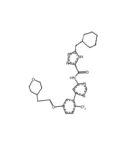 O=C(Nc1cc(-c2cc(OCCC3CCOCC3)ccc2C(F)(F)F)ncn1)c1nnc(CC2CCCCC2)[nH]1